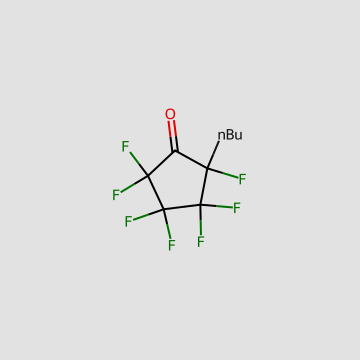 CCCCC1(F)C(=O)C(F)(F)C(F)(F)C1(F)F